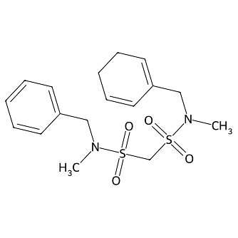 CN(CC1=CCCC=C1)S(=O)(=O)CS(=O)(=O)N(C)Cc1ccccc1